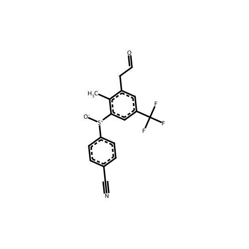 Cc1c([CH]C=O)cc(C(F)(F)F)cc1[S+]([O-])c1ccc(C#N)cc1